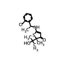 C[C@H](NC1=CC(=O)[C@](C)(C(C)(C)O)S1)c1ccccc1Cl